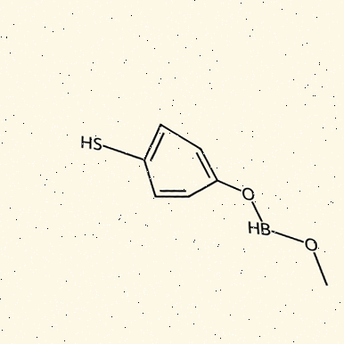 COBOc1ccc(S)cc1